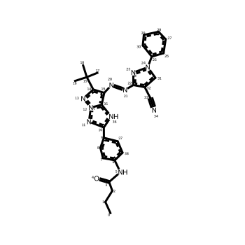 CCCC(=O)Nc1ccc(-c2nn3nc(C(C)(C)C)c(N=Nc4nn(-c5ccccc5)cc4C#N)c3[nH]2)cc1